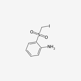 Nc1ccccc1S(=O)(=O)CI